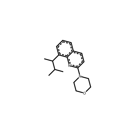 CC(C)C(C)c1cccc2ccc(N3CCOCC3)nc12